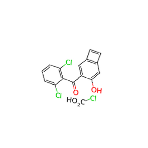 O=C(O)Cl.O=C(c1cc2c(cc1O)C=C2)c1c(Cl)cccc1Cl